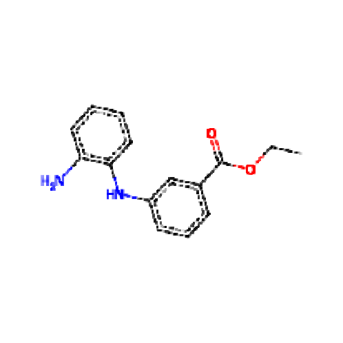 CCOC(=O)c1cccc(Nc2ccccc2N)c1